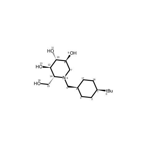 CC(C)(C)[C@H]1CC[C@@H](CN2C[C@H](O)[C@@H](O)[C@H](O)[C@H]2CO)CC1